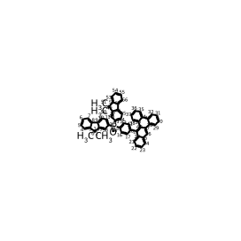 CC1(C)c2ccccc2-c2ccc(P(=O)(c3ccc(-c4c5ccccc5cc5c6ccccc6c6ccccc6c45)cc3)c3ccc4c(c3)C(C)(C)c3ccccc3-4)cc21